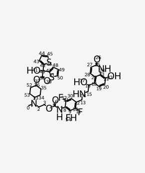 CN(CCOC(=O)Nc1cc(F)c(CNC[C@@H](O)c2ccc(O)c3[nH]c(=O)ccc23)cc1F)C1CCC(OC(=O)C(O)(c2cccs2)c2cccs2)CC1.F